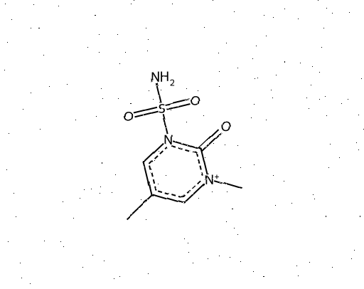 Cc1cn(S(N)(=O)=O)c(=O)[n+](C)c1